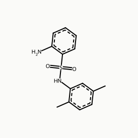 Cc1ccc(C)c(NS(=O)(=O)c2ccccc2N)c1